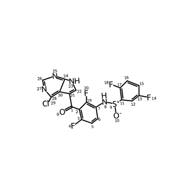 O=C(c1c(F)ccc(N[S+]([O-])c2cc(F)ccc2F)c1F)c1c[nH]c2ncnc(Cl)c12